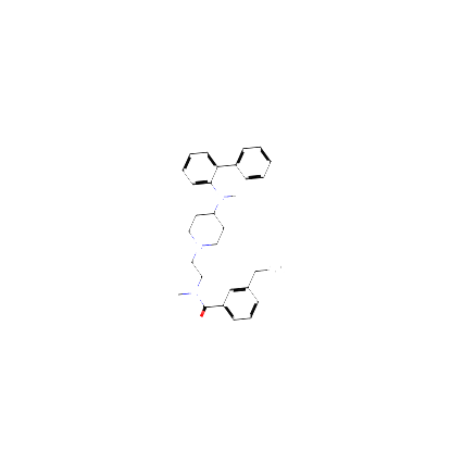 CNCc1cccc(C(=O)N(C)CCN2CCC(N(C(=O)O)c3ccccc3-c3ccccc3)CC2)c1